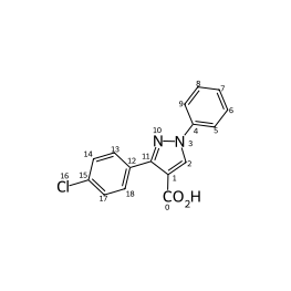 O=C(O)c1cn(-c2ccccc2)nc1-c1ccc(Cl)cc1